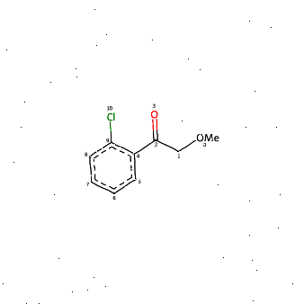 COCC(=O)c1ccccc1Cl